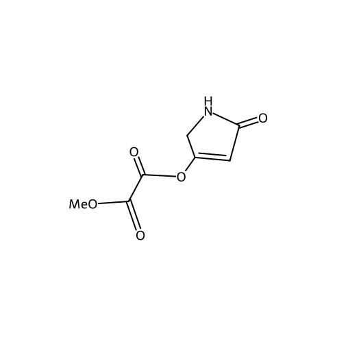 COC(=O)C(=O)OC1=CC(=O)NC1